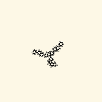 CC1(C)c2cc(-c3ccc4cc(-c5ccccc5)ccc4c3)ccc2N(c2ccc3c(c2)C(C)(C)c2ccc4ccccc4c2-3)c2ccc(-c3ccc4cc(-c5ccccc5)ccc4c3)cc21